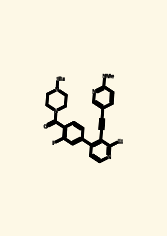 CCc1nccc(-c2ccc(C(=O)N3CCN(C(C)(C)C)CC3)c(F)c2)c1C#Cc1ccc(NC)nc1